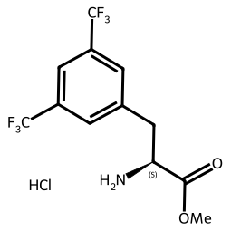 COC(=O)[C@@H](N)Cc1cc(C(F)(F)F)cc(C(F)(F)F)c1.Cl